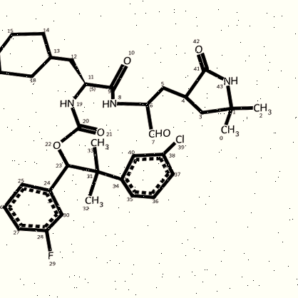 CC1(C)CC(CC(C=O)NC(=O)[C@H](CC2CCCCC2)NC(=O)OC(c2cccc(F)c2)C(C)(C)c2cccc(Cl)c2)C(=O)N1